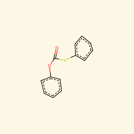 O=C(Oc1ccccc1)Sc1ccccc1